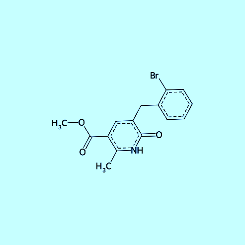 COC(=O)c1cc(Cc2ccccc2Br)c(=O)[nH]c1C